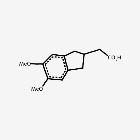 COc1cc2c(cc1OC)CC(CC(=O)O)C2